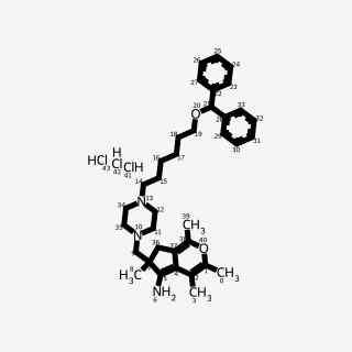 CC1=C(C)C2=C(N)C(C)(CN3CCN(CCCCCCOC(c4ccccc4)c4ccccc4)CC3)CC2=C(C)O1.Cl.Cl.Cl